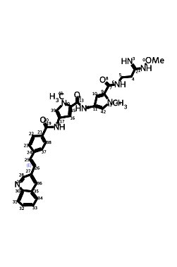 CONC(=N)CCNC(=O)c1cc(NC(=O)c2cc(NC(=O)c3ccc(/C=C/c4cnc5ccccc5c4)cc3)cn2C)cn1C